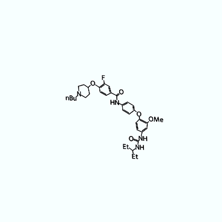 CCCCN1CCC(Oc2ccc(C(=O)Nc3ccc(Oc4ccc(NC(=O)NC(CC)CC)cc4OC)cc3)cc2F)CC1